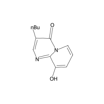 CCCCc1cnc2c(O)cccn2c1=O